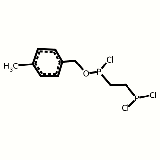 Cc1ccc(COP(Cl)CCP(Cl)Cl)cc1